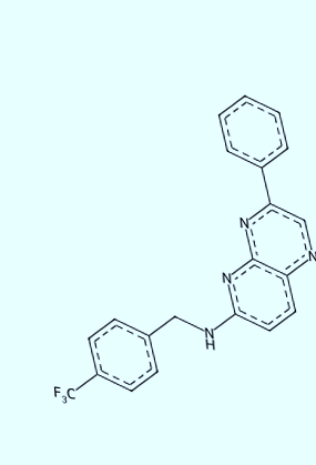 FC(F)(F)c1ccc(CNc2ccc3ncc(-c4ccccc4)nc3n2)cc1